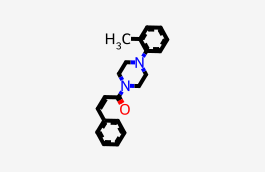 Cc1ccccc1N1CCN(C(=O)/C=C\c2ccccc2)CC1